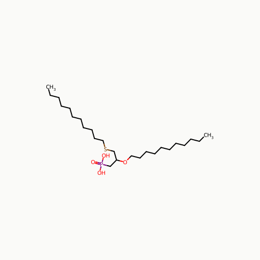 CCCCCCCCCCCOC(CSCCCCCCCCCCC)CP(=O)(O)O